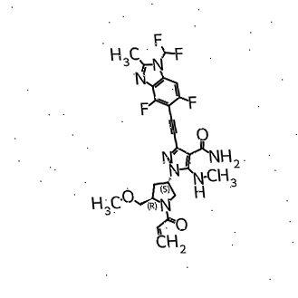 C=CC(=O)N1C[C@@H](n2nc(C#Cc3c(F)cc4c(nc(C)n4C(F)F)c3F)c(C(N)=O)c2NC)C[C@@H]1COC